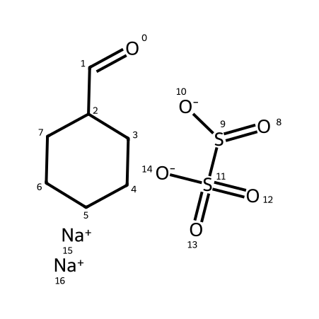 O=CC1CCCCC1.O=S([O-])S(=O)(=O)[O-].[Na+].[Na+]